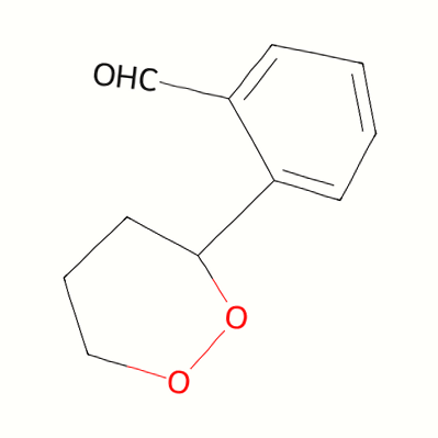 O=Cc1ccccc1C1CCCOO1